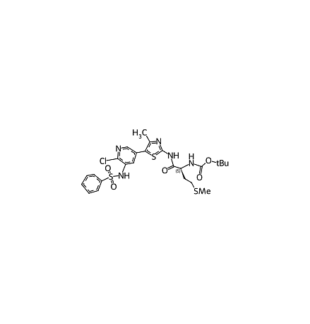 CSCC[C@H](NC(=O)OC(C)(C)C)C(=O)Nc1nc(C)c(-c2cnc(Cl)c(NS(=O)(=O)c3ccccc3)c2)s1